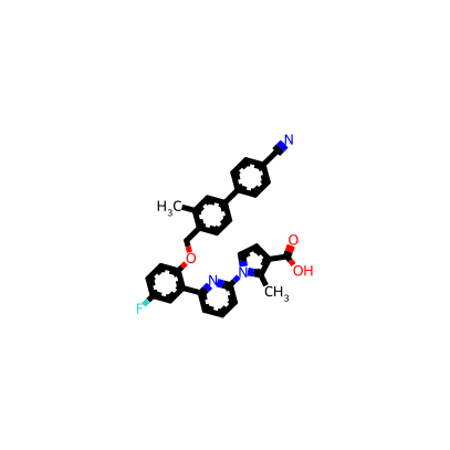 Cc1cc(-c2ccc(C#N)cc2)ccc1COc1ccc(F)cc1-c1cccc(-n2ccc(C(=O)O)c2C)n1